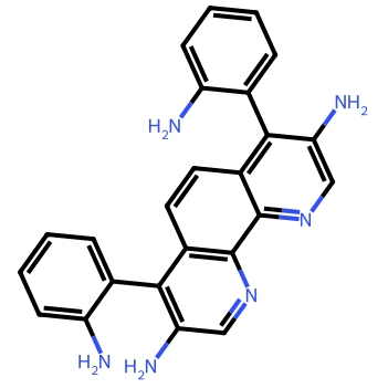 Nc1ccccc1-c1c(N)cnc2c1ccc1c(-c3ccccc3N)c(N)cnc12